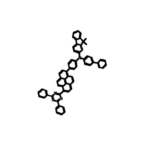 CC1(C)c2ccccc2-c2ccc(N(c3ccc(-c4ccccc4)cc3)c3ccc(-c4ccc5ccc6c(-c7nc(-c8ccccc8)nc(-c8ccccc8)n7)ccc7ccc4c5c76)cc3)cc21